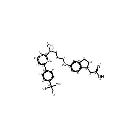 CN(CCCOc1ccc2c(c1)CC[C@H]2CC(=O)O)c1nccc(-c2ccc(C(F)(F)F)cc2)n1